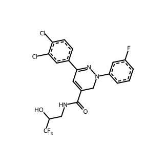 O=C(NCC(O)C(F)(F)F)C1=CC(c2ccc(Cl)c(Cl)c2)=NN(c2cccc(F)c2)C1